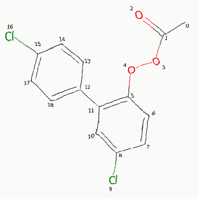 CC(=O)OOc1ccc(Cl)cc1-c1ccc(Cl)cc1